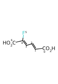 O=C(O)/C=C/C=C(\F)C(=O)O